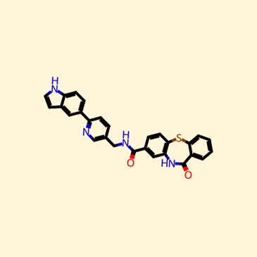 O=C(NCc1ccc(-c2ccc3[nH]ccc3c2)nc1)c1ccc2c(c1)NC(=O)c1ccccc1S2